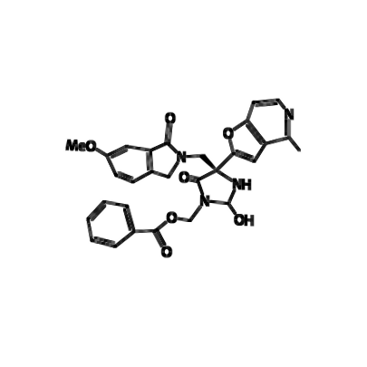 COc1ccc2c(c1)C(=O)N(C[C@@]1(c3cc4c(C)nccc4o3)NC(O)N(COC(=O)c3ccccc3)C1=O)C2